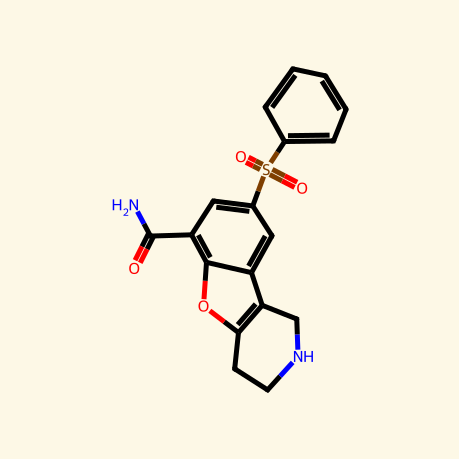 NC(=O)c1cc(S(=O)(=O)c2ccccc2)cc2c3c(oc12)CCNC3